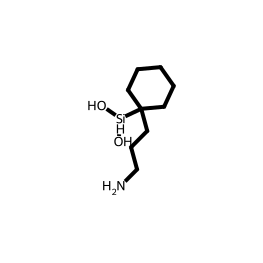 NCCCC1([SiH](O)O)CCCCC1